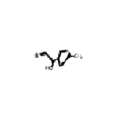 Cc1ccc(C(O)CC(C)C)cn1